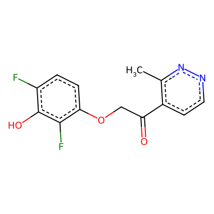 Cc1nnccc1C(=O)COc1ccc(F)c(O)c1F